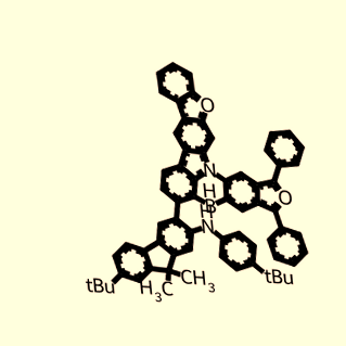 CC(C)(C)c1ccc(Nc2cc3c(cc2-c2ccc4c5cc6c(cc5n5c4c2Bc2cc4c(-c7ccccc7)oc(-c7ccccc7)c4cc2-5)oc2ccccc26)-c2ccc(C(C)(C)C)cc2C3(C)C)cc1